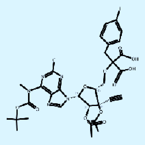 C#C[C@@]1(OC(C)=O)[C@@H](COC(Cc2ccc(I)cc2)(C(=O)O)C(=O)O)O[C@@H](n2cnc3c(N(C)C(=O)OC(C)(C)C)nc(Cl)nc32)[C@@H]1OC(C)=O